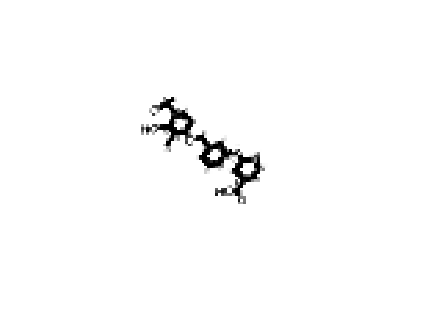 CC(=O)c1ccc(OCc2cccc(Sc3cc(C(=O)O)ccn3)c2)c(C)c1O